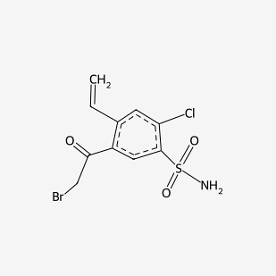 C=Cc1cc(Cl)c(S(N)(=O)=O)cc1C(=O)CBr